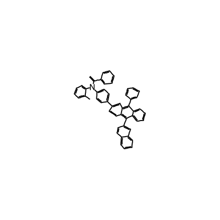 C=C(c1ccccc1)N(c1ccc(-c2ccc3c(-c4ccc5ccccc5c4)c4ccccc4c(-c4ccccc4)c3c2)cc1)c1ccccc1C